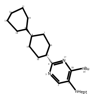 CCCCCCCc1cnc([C@H]2CC[C@H](C3CCCCC3)CC2)nc1CCCC